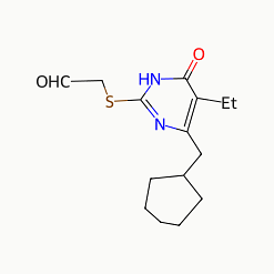 CCc1c(CC2CCCCC2)nc(SCC=O)[nH]c1=O